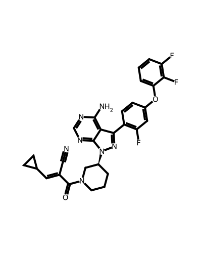 N#C/C(=C\C1CC1)C(=O)N1CCC[C@H](n2nc(-c3ccc(Oc4cccc(F)c4F)cc3F)c3c(N)ncnc32)C1